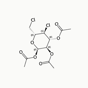 CC(=O)O[C@H]1O[C@H](CCl)[C@@H](Cl)[C@H](OC(C)=O)[C@H]1OC(C)=O